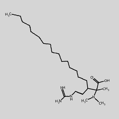 CCCCCCCCCCCCCCCCC(CCNC(=N)N)C(C)(C(=O)O)N(C)C